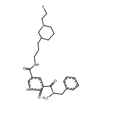 CN(Cc1ccccc1)C(=O)c1cc(C(=O)NCCCC2CCCN(CCF)C2)c[nH]c1=O